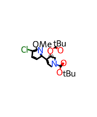 COc1nc(C2=CCN(C(=O)OC(C)(C)C)C[C@@H]2OC(=O)C(C)(C)C)ccc1Cl